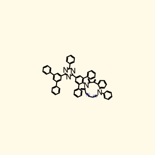 C=C1C(=C)N(c2c(-c3ccccc3)cc(-c3nc(-c4ccccc4)nc(-c4cc(-c5ccccc5)cc(-c5ccccc5)c4)n3)cc2-c2ccccc2)C(=C)/C=C\C=C/N(c2ccccc2)c2ccccc21